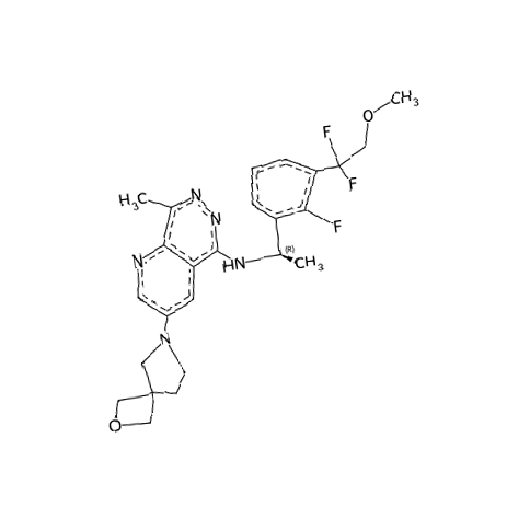 COCC(F)(F)c1cccc([C@@H](C)Nc2nnc(C)c3ncc(N4CCC5(COC5)C4)cc23)c1F